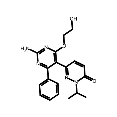 CC(C)n1nc(-c2c(OCCO)nc(N)nc2-c2ccccc2)ccc1=O